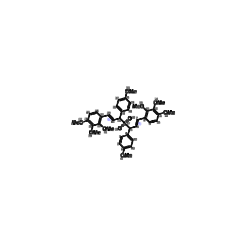 COc1ccc(C(/C=C/c2ccc(OC)c(OC)c2OC)S(=O)(=O)C(/C=C/c2ccc(OC)c(OC)c2OC)c2ccc(OC)cc2)cc1